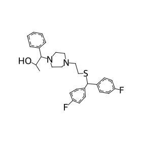 CC(O)C(c1ccccc1)N1CCN(CCSC(c2ccc(F)cc2)c2ccc(F)cc2)CC1